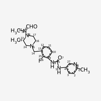 Cc1ccc(NC(=O)Nc2cccc(CN3CCN(N(C)C=O)[C@@H](C)C3)c2F)cn1